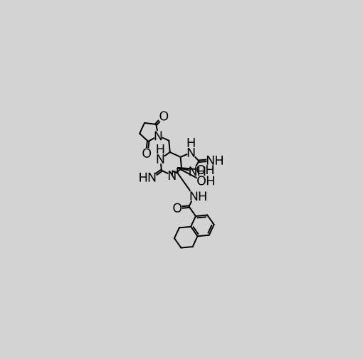 N=C1NC2C(CN3C(=O)CCC3=O)NC(=N)N3CC(NC(=O)c4cccc5c4CCCC5)C(O)(O)C23N1